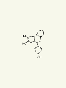 Oc1ccc(C(Cc2ccccc2)c2ccc(O)c(O)c2)cc1